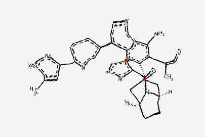 CC(=O)c1c([C@@H]2C[C@H]3CC[C@@H](C2)N3C(=O)c2nnc[nH]2)nc2c(-c3ccc(-c4cc(C)[nH]n4)nc3)cnn2c1N